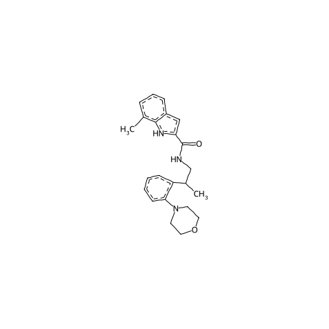 Cc1cccc2cc(C(=O)NCC(C)c3ccccc3N3CCOCC3)[nH]c12